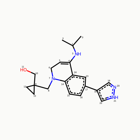 CC(C)NC1=CCN(CC2(CO)CC2)c2ccc(-c3cn[nH]c3)cc21